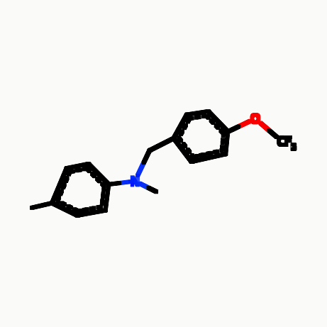 Cc1ccc(N(C)Cc2ccc(OC(F)(F)F)cc2)cc1